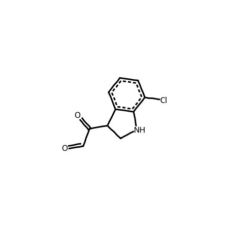 O=CC(=O)C1CNc2c(Cl)cccc21